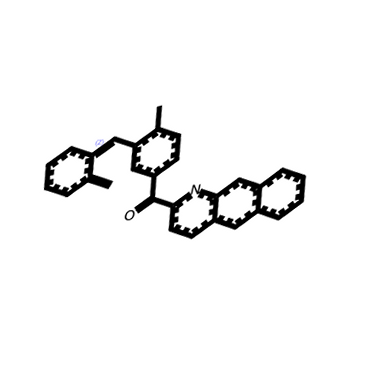 C=c1cccc/c1=C/c1cc(C(=O)c2ccc3cc4ccccc4cc3n2)ccc1C